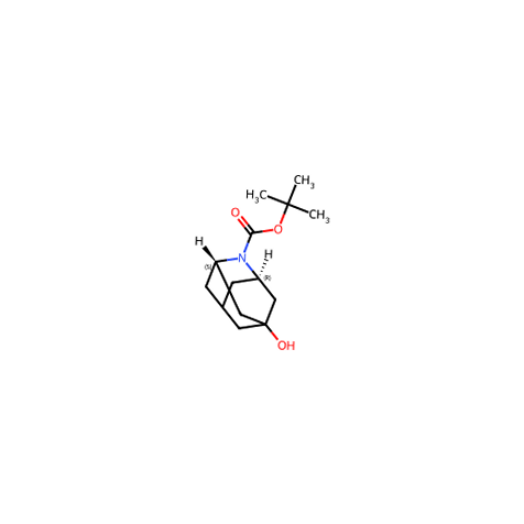 CC(C)(C)OC(=O)N1[C@@H]2CC3C[C@H]1CC(O)(C3)C2